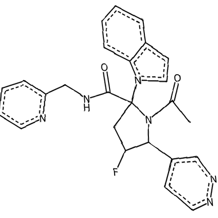 CC(=O)N1C(c2ccnnc2)C(F)CC1(C(=O)NCc1ccccn1)n1ccc2ccccc21